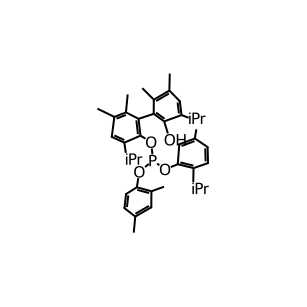 Cc1ccc(OP(Oc2cc(C)ccc2C(C)C)Oc2c(C(C)C)cc(C)c(C)c2-c2c(C)c(C)cc(C(C)C)c2O)c(C)c1